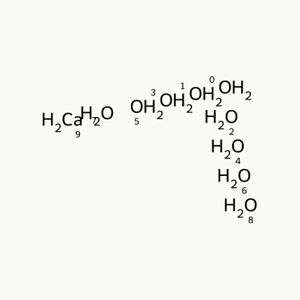 O.O.O.O.O.O.O.O.O.[CaH2]